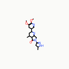 COC1=C(OC)N=CC(C2CC(C)C3C(=O)N(C4=NNC(C)C4)CC3=N2)C1